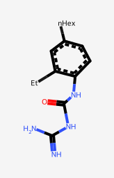 CCCCCCc1ccc(NC(=O)NC(=N)N)c(CC)c1